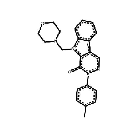 Cc1ccc(-n2ncc3c4ccccc4n(CN4CCOCC4)c3c2=O)cc1